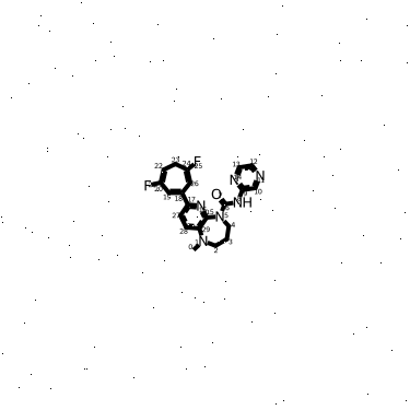 CN1CCCN(C(=O)Nc2cnccn2)c2nc(C3=CC(F)=CCC(F)=C3)ccc21